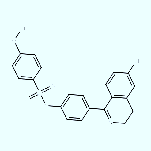 O=S(=O)(Nc1ccc(C2=NCCc3cc(Cl)ccc32)cc1)c1ccc(OC(F)(F)F)cc1